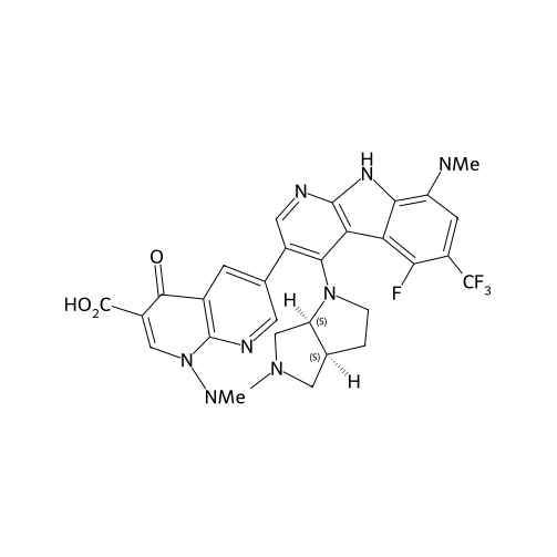 CNc1cc(C(F)(F)F)c(F)c2c1[nH]c1ncc(-c3cnc4c(c3)c(=O)c(C(=O)O)cn4NC)c(N3CC[C@H]4CN(C)C[C@H]43)c12